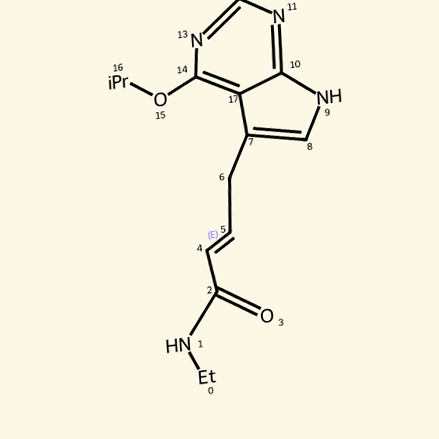 CCNC(=O)/C=C/Cc1c[nH]c2ncnc(OC(C)C)c12